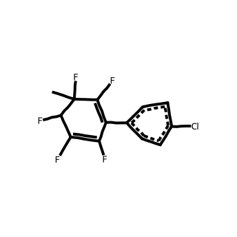 CC1(F)C(F)=C(c2ccc(Cl)cc2)C(F)=C(F)C1F